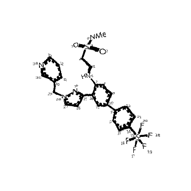 CNS(=O)(=O)CCNc1ccc(-c2ccc(S(F)(F)(F)(F)F)cc2)cc1-c1ccn(Cc2cccnc2)n1